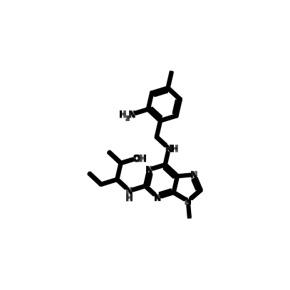 CCC(Nc1nc(NCc2ccc(C)cc2N)c2ncn(C)c2n1)C(C)O